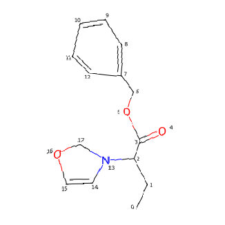 CCC(C(=O)OCc1ccccc1)N1C=COC1